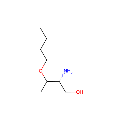 CCCCOC(C)[C@H](N)CO